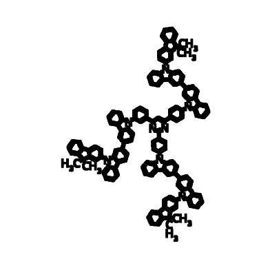 CC1(C)c2ccccc2-c2ccc(-n3c4ccccc4c4cc(-c5ccc6c7ccccc7n(-c7ccc(-c8cc(-c9cccc(-n%10c%11ccccc%11c%11cc(-c%12ccc%13c%14ccccc%14n(-c%14ccc%15c(c%14)C(C)(C)c%14ccccc%14-%15)c%13c%12)ccc%11%10)c9)nc(-c9ccc(-n%10c%11ccccc%11c%11cc(-c%12ccc%13c%14ccccc%14n(-c%14ccc%15c(c%14)C(C)(C)c%14ccccc%14-%15)c%13c%12)ccc%11%10)cc9)n8)cc7)c6c5)ccc43)cc21